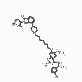 COc1cc2c(N[C@H](C)c3cccc(Br)c3)nc(C)nc2cc1OCCCCCCCN1CCC(c2cccc3c2CN(C2CCC(=O)NC2=O)C3=O)CC1